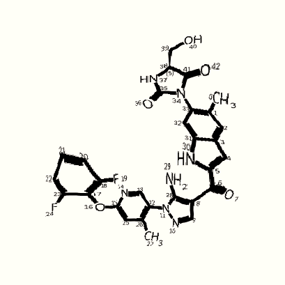 Cc1cc2cc(C(=O)c3cnn(-c4cnc(Oc5c(F)cccc5F)cc4C)c3N)[nH]c2cc1N1C(=O)N[C@@H](CO)C1=O